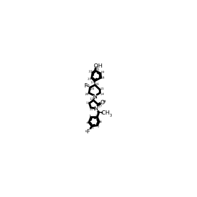 C[C@@H](c1ccc(F)cc1)N1CC[C@@H](N2CC[C@H](c3ccc(O)cc3)[C@@H](F)C2)C1=O